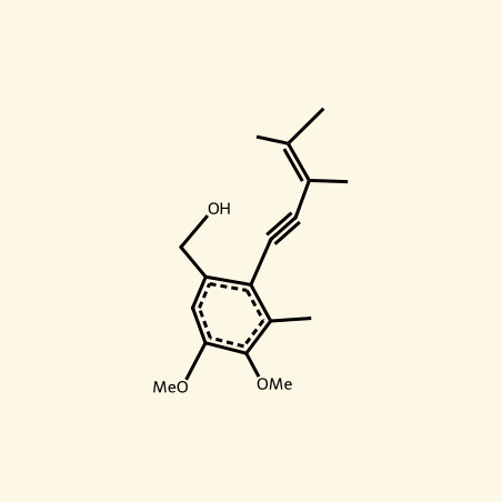 COc1cc(CO)c(C#CC(C)=C(C)C)c(C)c1OC